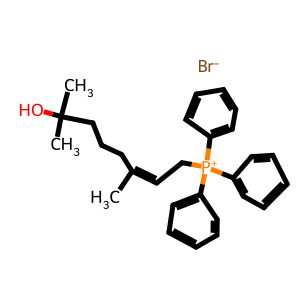 CC(=CC[P+](c1ccccc1)(c1ccccc1)c1ccccc1)CCCC(C)(C)O.[Br-]